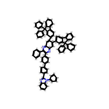 c1ccc(-c2nc3cc(-c4ccc5c(c4)C(c4ccccc4)(c4ccccc4)c4ccccc4-5)c(-c4ccc5c(c4)C(c4ccccc4)(c4ccccc4)c4ccccc4-5)cc3nc2-c2ccc(-c3ccc(-c4nc5ccccc5n4-c4ccccc4)cc3)cc2)cc1